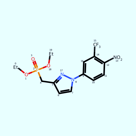 CCOP(=O)(Cc1ccn(-c2ccc([N+](=O)[O-])c(C(F)(F)F)c2)n1)OCC